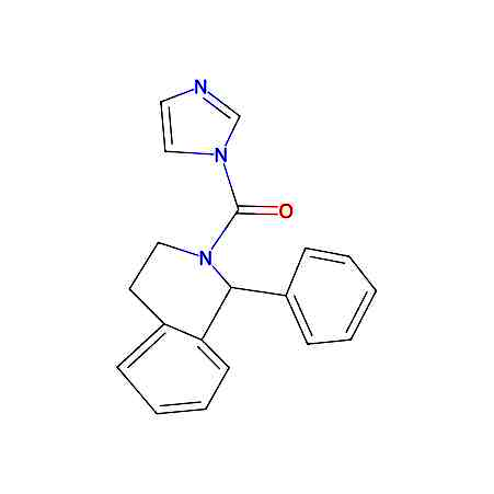 O=C(N1CCc2ccccc2C1c1ccccc1)n1ccnc1